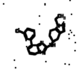 CCn1ncc2c1CCC(Nc1nc3c(-c4cccc(Cl)c4)cccn3n1)C2